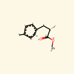 Cc1ccc(C[C@H](C)C(=O)OC(C)C)cc1